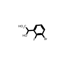 O=C(O)C(O)c1cccc(Br)c1F